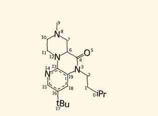 CC(C)CCN1C(=O)C2CN(C)CCN2c2ncc(C(C)(C)C)cc21